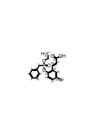 CCOP(=O)(Cc1ccccc1)Oc1ccc(Br)cc1/C=C/C(=O)O